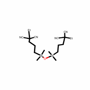 CCC(C#N)(C#N)CCC[Si](C)(C)O[Si](C)(C)CCCC(C#N)(C#N)CC